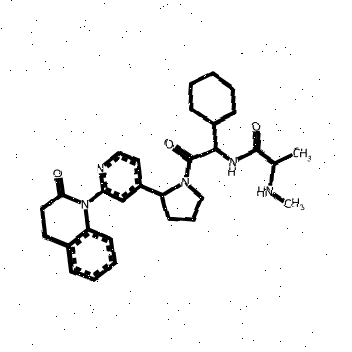 CNC(C)C(=O)NC(C(=O)N1CCCC1c1ccnc(N2C(=O)CCc3ccccc32)c1)C1CCCCC1